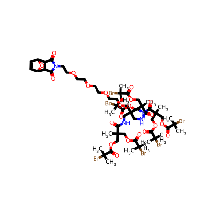 CC(C)(Br)C(=O)OCC(C)(COC(=O)C(C)(C)Br)C(=O)NCC(CNC(=O)C(C)(COC(=O)C(C)(C)Br)COC(=O)C(C)(C)Br)(CNC(=O)C(C)(COC(=O)C(C)(C)Br)COC(=O)C(C)(C)Br)COCCOCCOCCOCCN1C(=O)C2C3C=CC(O3)C2C1=O